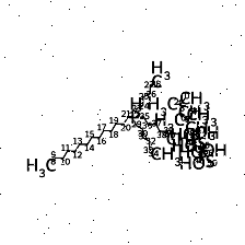 CC(C)C.CC(C)C.CCCCCCCCCCCCCC[PH](CCCCCC)(CCCCCC)CCCCCC.OP(O)(O)=S.OP(O)(O)=S